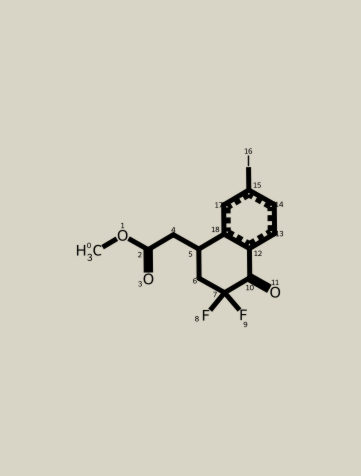 COC(=O)CC1CC(F)(F)C(=O)c2ccc(I)cc21